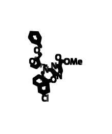 COC(=O)c1cnc2c(n1)N(C[C@@H]1CCO[C@H]1COCc1ccccc1)C[C@@]1(CCCc3cc(Cl)ccc31)CO2